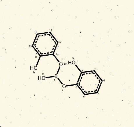 OB(Oc1ccccc1O)Oc1ccccc1O